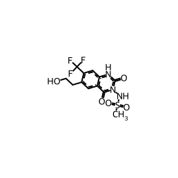 CS(=O)(=O)Nn1c(=O)[nH]c2cc(C(F)(F)F)c(CCO)cc2c1=O